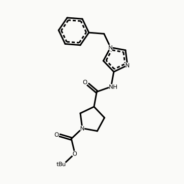 CC(C)(C)OC(=O)N1CCC(C(=O)Nc2cn(Cc3ccccc3)cn2)C1